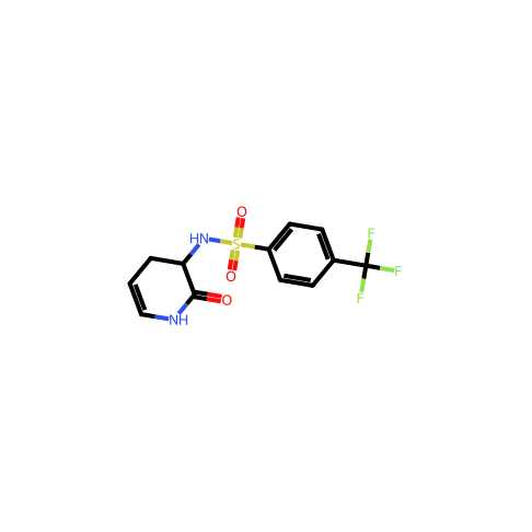 O=C1NC=CCC1NS(=O)(=O)c1ccc(C(F)(F)F)cc1